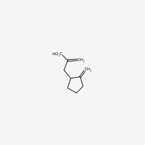 C=C(CC1CCCC1=C)C(=O)O